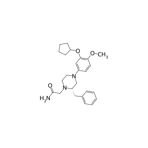 COc1ccc(N2CCN(CC(N)=O)[C@@H](Cc3ccccc3)C2)cc1OC1CCCC1